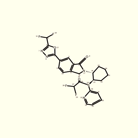 O=C1c2cc(-c3nnc(C(F)F)o3)ccc2CN1[C@@H]1CCCC[C@H]1N(C(=O)C(F)F)c1ccccn1